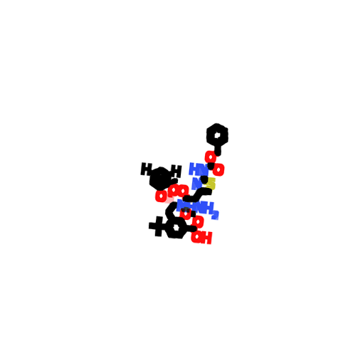 COc1c(C(=O)O)ccc(C(C)(C)C)c1CC(NC(=O)C(N)c1csc(NC(=O)OCc2ccccc2)n1)B1OC2C[C@H]3C[C@@H](C3(C)C)[C@]2(C)O1